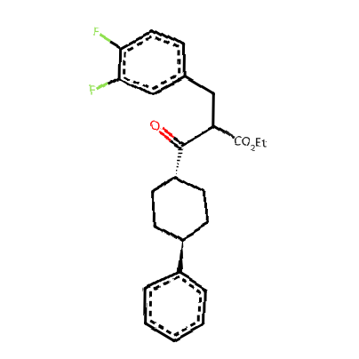 CCOC(=O)C(Cc1ccc(F)c(F)c1)C(=O)[C@H]1CC[C@H](c2ccccc2)CC1